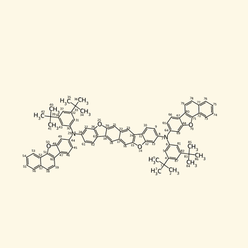 CC(C)(C)c1cc(N(c2ccc3c(c2)oc2cc4cc5c(cc4cc23)oc2cc(N(c3cc(C(C)(C)C)cc(C(C)(C)C)c3)c3ccc4c(c3)oc3c6ccccc6ccc43)ccc25)c2ccc3c(c2)oc2c4ccccc4ccc32)cc(C(C)(C)C)c1